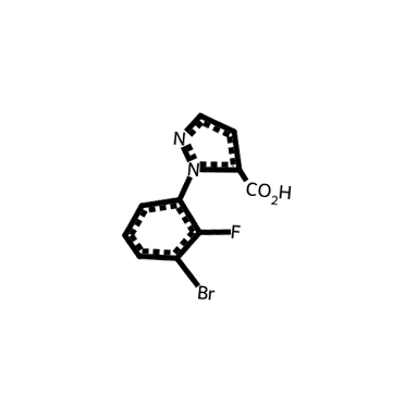 O=C(O)c1ccnn1-c1cccc(Br)c1F